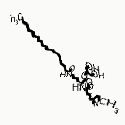 CCC=CCC=CCC=CCC=CCC=CCCCC(=O)NCCCC[C@H](NC(=O)CC=Cc1ccc(C)nc1)C(=O)OC(CO)CO